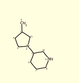 CC1CCN(C2CCCNC2)C1